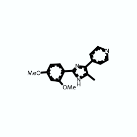 COc1ccc(-c2nc(-c3ccncc3)c(C)[nH]2)c(OC)c1